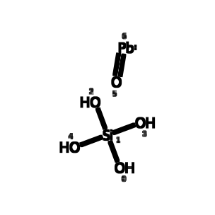 O[Si](O)(O)O.[O]=[Pb]